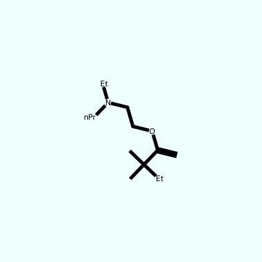 C=C(OCCN(CC)CCC)C(C)(C)CC